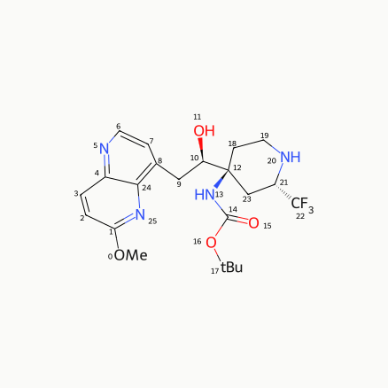 COc1ccc2nccc(C[C@@H](O)[C@]3(NC(=O)OC(C)(C)C)CCN[C@H](C(F)(F)F)C3)c2n1